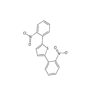 O=[N+]([O-])c1ccccc1-c1ccc(-c2ccccc2[N+](=O)[O-])s1